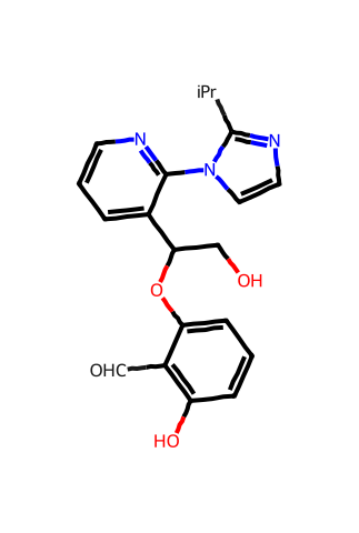 CC(C)c1nccn1-c1ncccc1C(CO)Oc1cccc(O)c1C=O